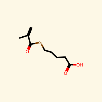 C=C(C)C(=O)SCCCCC(=O)O